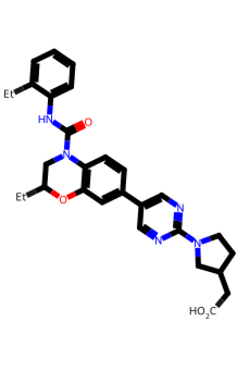 CCc1ccccc1NC(=O)N1CC(CC)Oc2cc(-c3cnc(N4CCC(CC(=O)O)C4)nc3)ccc21